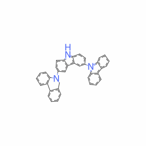 c1ccc2c(c1)CN(c1ccc3[nH]c4ccc(-n5c6ccccc6c6ccccc65)cc4c3c1)c1ccccc1-2